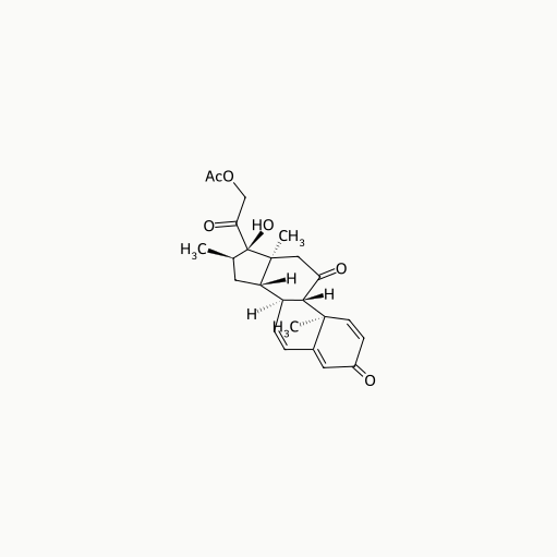 CC(=O)OCC(=O)[C@@]1(O)[C@H](C)C[C@H]2[C@@H]3C=CC4=CC(=O)C=C[C@]4(C)[C@H]3C(=O)C[C@@]21C